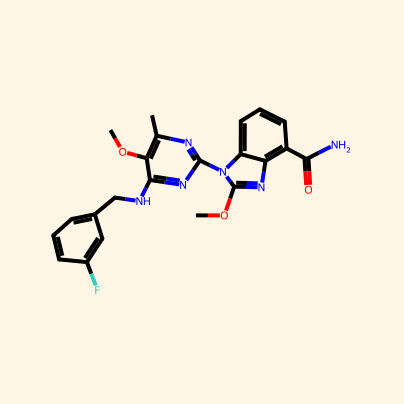 COc1c(C)nc(-n2c(OC)nc3c(C(N)=O)cccc32)nc1NCc1cccc(F)c1